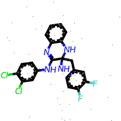 NC1(Cc2ccc(F)c(F)c2)Nc2ccccc2N=C1Nc1ccc(Cl)c(Cl)c1